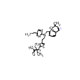 C=C(Cl)/C=C\c1cccc(CN(CCc2csc(SC(C)(C)C(=O)O)n2)c2ncc(CC)cn2)n1